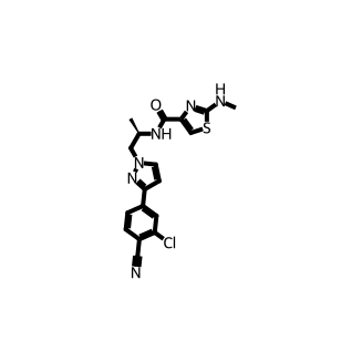 CNc1nc(C(=O)N[C@H](C)Cn2ccc(-c3ccc(C#N)c(Cl)c3)n2)cs1